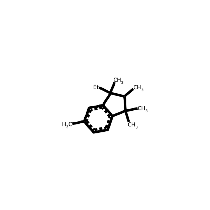 CCC1(C)c2cc(C)ccc2C(C)(C)C1C